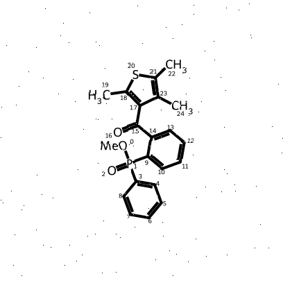 COP(=O)(c1ccccc1)c1ccccc1C(=O)c1c(C)sc(C)c1C